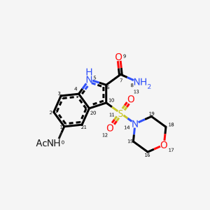 CC(=O)Nc1ccc2[nH]c(C(N)=O)c(S(=O)(=O)N3CCOCC3)c2c1